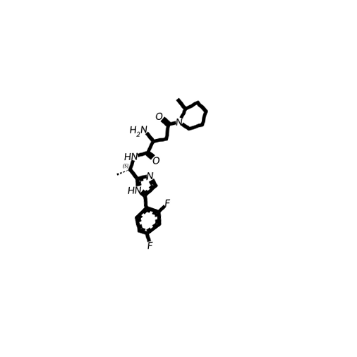 CC1CCCCN1C(=O)CC(N)C(=O)N[C@@H](C)c1ncc(-c2ccc(F)cc2F)[nH]1